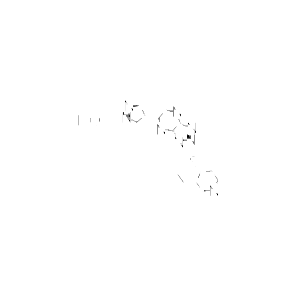 OCCn1cc(-c2cnc3nnn(CC4C=Cc5cnccc5S4)c3n2)cn1